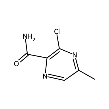 Cc1cnc(C(N)=O)c(Cl)n1